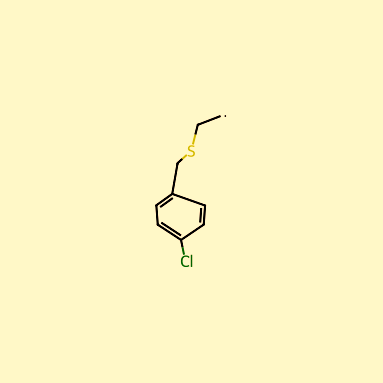 [CH2]CSCc1ccc(Cl)cc1